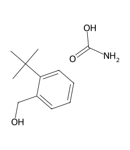 CC(C)(C)c1ccccc1CO.NC(=O)O